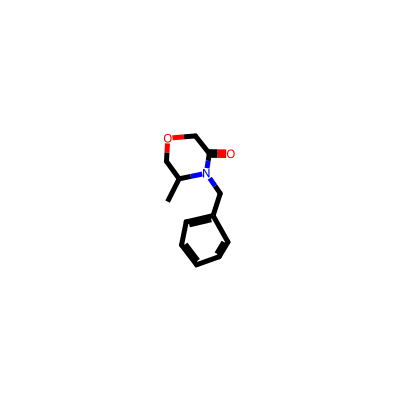 CC1COCC(=O)N1Cc1ccccc1